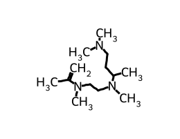 C=C(C)N(C)CCN(C)C(C)CCN(C)C